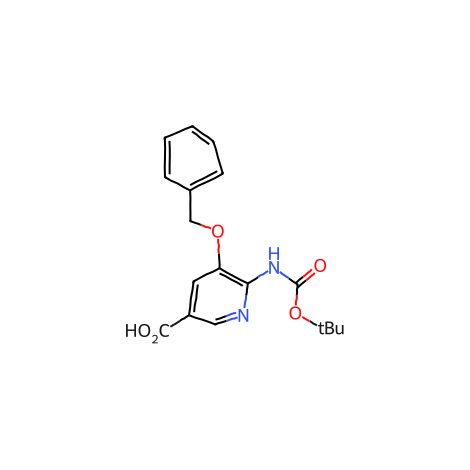 CC(C)(C)OC(=O)Nc1ncc(C(=O)O)cc1OCc1ccccc1